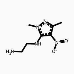 Cc1nn(C)c(NCCN)c1[N+](=O)[O-]